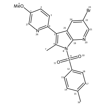 COc1ccc(-c2c(C)n(S(=O)(=O)c3ccc(C)cc3)c3ncc(Br)cc23)nc1